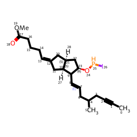 CC#CCC(C)C/C=C/C1[C@H]2CC(=CCCCC(=O)OC)C[C@H]2C[C@H]1OPI